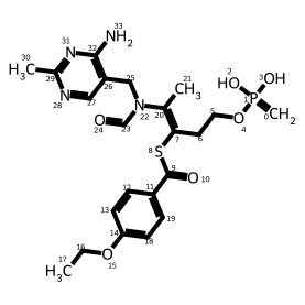 C=P(O)(O)OCC/C(SC(=O)c1ccc(OCC)cc1)=C(\C)N(C=O)Cc1cnc(C)nc1N